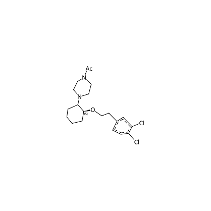 CC(=O)N1CCN(C2CCCC[C@@H]2OCCc2ccc(Cl)c(Cl)c2)CC1